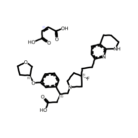 O=C(O)/C=C\C(=O)O.O=C(O)C[C@H](CN1CC[C@@](F)(CCc2ccc3c(n2)NCCC3)C1)c1cccc(O[C@H]2CCOC2)c1